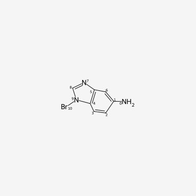 Nc1ccc2c(c1)ncn2Br